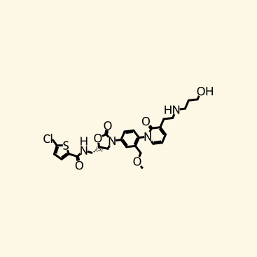 COCc1cc(N2C[C@H](CNC(=O)c3ccc(Cl)s3)OC2=O)ccc1-n1cccc(CCNCCCO)c1=O